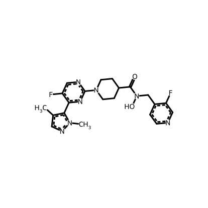 Cc1cnn(C)c1-c1nc(N2CCC(C(=O)N(O)Cc3ccncc3F)CC2)ncc1F